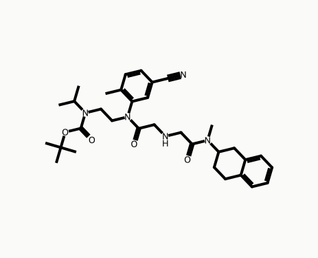 Cc1ccc(C#N)cc1N(CCN(C(=O)OC(C)(C)C)C(C)C)C(=O)CNCC(=O)N(C)C1CCc2ccccc2C1